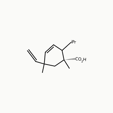 C=CC1(C)C=CC(C(C)C)[C@](C)(C(=O)O)C1